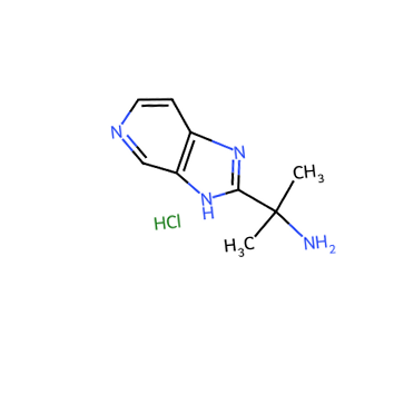 CC(C)(N)c1nc2ccncc2[nH]1.Cl